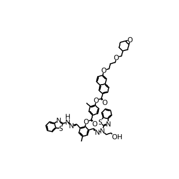 Cc1cc(/C=N/Nc2nc3ccccc3s2)c(OC(=O)c2ccc(OC(=O)c3ccc4cc(OCCCOCC5CCC6OC6C5)ccc4c3)c(C)c2)c(/C=N/N(CCO)c2nc3ccccc3s2)c1